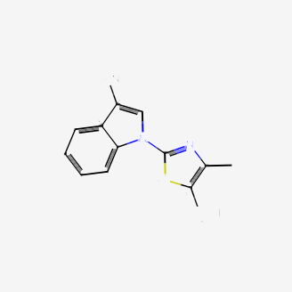 Cc1nc(-n2cc(C#N)c3ccccc32)sc1C(=O)O